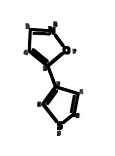 [c]1cc(-c2ccno2)cs1